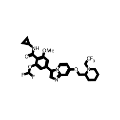 COc1cc(-c2cnc3cc(OCC4CCCCN4CC(F)(F)F)ccn23)cc(OC(F)F)c1C(=O)NC1CC1